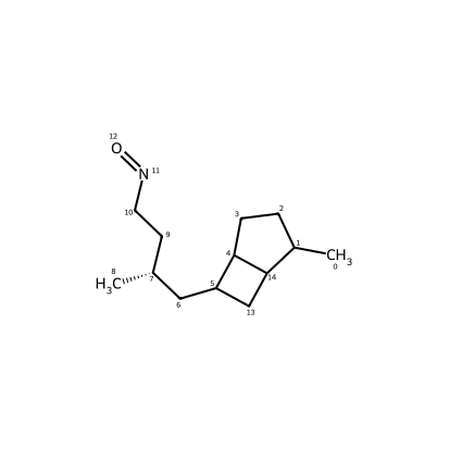 CC1CCC2C(C[C@H](C)CCN=O)CC12